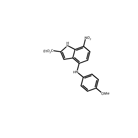 CCOC(=O)c1cc2c(Nc3ccc(OC)cc3)ccc([N+](=O)[O-])c2[nH]1